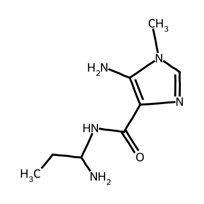 CCC(N)NC(=O)c1ncn(C)c1N